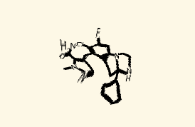 Cn1ncc(-c2c(Cl)c(F)cc3c2CC2(c4ccccc4)CNCCN32)c1C(N)=O